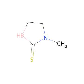 CN1CCBC1=S